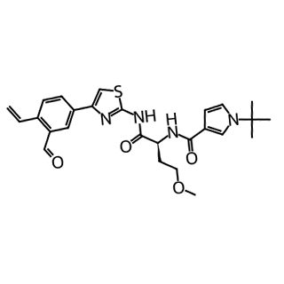 C=Cc1ccc(-c2csc(NC(=O)[C@H](CCOC)NC(=O)c3ccn(C(C)(C)C)c3)n2)cc1C=O